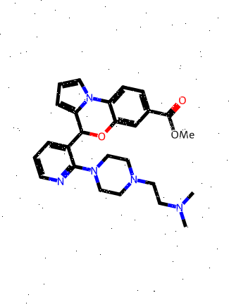 COC(=O)c1ccc2c(c1)OC(c1cccnc1N1CCN(CCN(C)C)CC1)c1cccn1-2